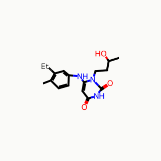 CCc1cc(Nc2cc(=O)[nH]c(=O)n2CCC(C)O)ccc1C